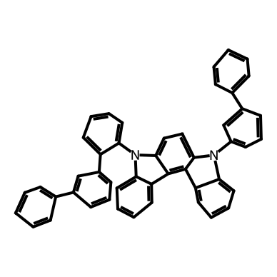 c1ccc(-c2cccc(-c3ccccc3-n3c4ccccc4c4c5c6ccccc6n(-c6cccc(-c7ccccc7)c6)c5ccc43)c2)cc1